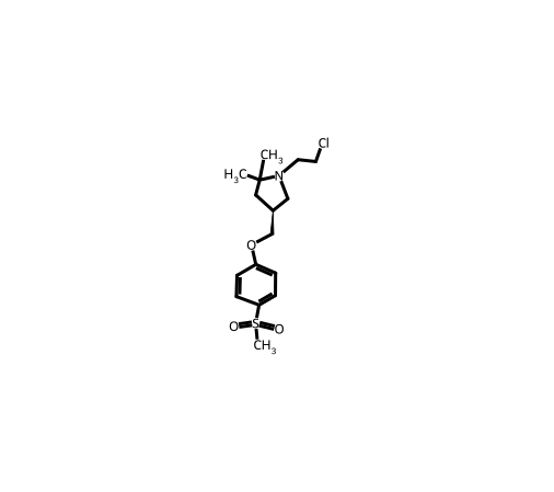 CC1(C)C[C@H](COc2ccc(S(C)(=O)=O)cc2)CN1CCCl